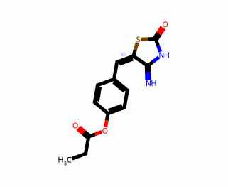 CCC(=O)Oc1ccc(/C=C2/SC(=O)NC2=N)cc1